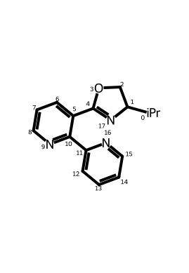 CC(C)C1COC(c2cccnc2-c2ccccn2)=N1